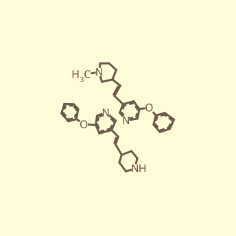 C(=C\C1CCNCC1)/c1cncc(Oc2ccccc2)c1.CN1CCCC(/C=C/c2cncc(Oc3ccccc3)c2)C1